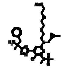 COCCOCCOCCN(CC1CC1C)c1cc(-c2nnc([C@](C)(N)Cc3ccccc3)o2)c(Cl)c(N(C)S(C)(=O)=O)n1